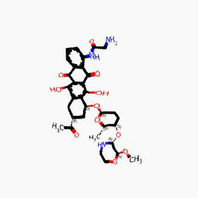 CO[C@H]1OCCN[C@@H]1O[C@H]1CC[C@H](O[C@H]2C[C@H](C(C)=O)Cc3c(O)c4c(c(O)c32)C(=O)c2c(NC(=O)CN)cccc2C4=O)O[C@H]1C